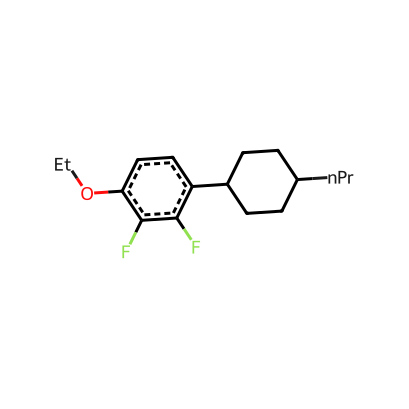 CCCC1CCC(c2ccc(OCC)c(F)c2F)CC1